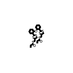 C=CC(=O)SCC1CSC(c2ccccc2Oc2ccccc2C2SCC(CSC(=O)C=C)S2)S1